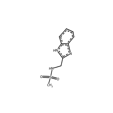 CS(=O)(=O)NCc1nc2[c]cccc2[nH]1